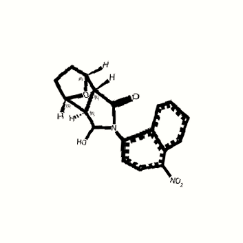 O=C1[C@@H]2[C@@H](C(O)N1c1ccc([N+](=O)[O-])c3ccccc13)[C@@H]1CC[C@H]2O1